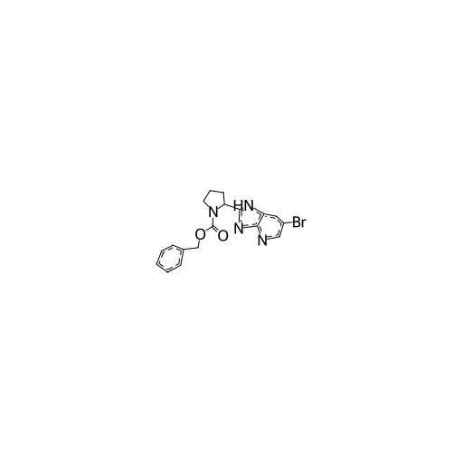 O=C(OCc1ccccc1)N1CCCC1c1nc2ncc(Br)cc2[nH]1